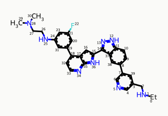 CCNCc1cncc(-c2ccc3[nH]nc(-c4cc5c(-c6cc(F)cc(NCCN(C)C)c6)ccnc5[nH]4)c3c2)c1